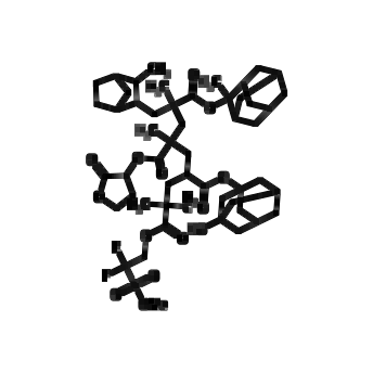 COS(=O)(=O)C(F)(F)COC(=O)C(C)(C)CC(CC(C)(CC(C)(CC1C2CCC(C2)C1C)C(=O)OC1(C)C2CC3CC(C2)CC1C3)C(=O)OC1CCOC1=O)C(=O)OC12CC3CC(CC(O)(C3)C1)C2